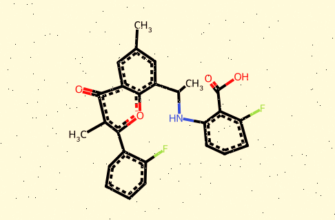 Cc1cc(C(C)Nc2cccc(F)c2C(=O)O)c2oc(-c3ccccc3F)c(C)c(=O)c2c1